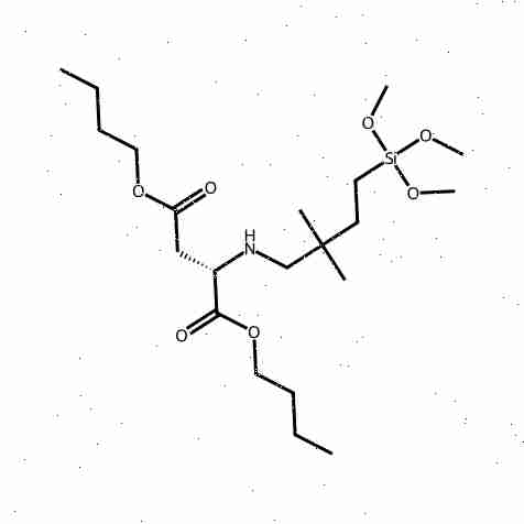 CCCCOC(=O)C[C@H](NCC(C)(C)CC[Si](OC)(OC)OC)C(=O)OCCCC